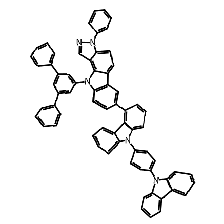 c1ccc(-c2cc(-c3ccccc3)cc(-n3c4ccc(-c5cccc6c5c5ccccc5n6-c5ccc(-n6c7ccccc7c7ccccc76)cc5)cc4c4ccc5c(cnn5-c5ccccc5)c43)c2)cc1